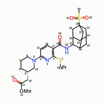 CCCSc1nc(N2CCC[C@@H](CC(=O)OC)C2)ccc1C(=O)NC1C2CC3CC1CC(S(C)(=O)=O)(C3)C2